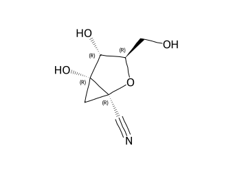 N#C[C@]12C[C@@]1(O)[C@H](O)[C@@H](CO)O2